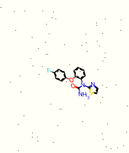 NC(=O)N(c1nccs1)c1ccccc1Oc1ccc(F)cc1